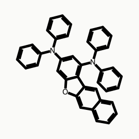 c1ccc(N(c2ccccc2)c2cc(N(c3ccccc3)c3ccccc3)c3c(c2)oc2cc4ccccc4cc23)cc1